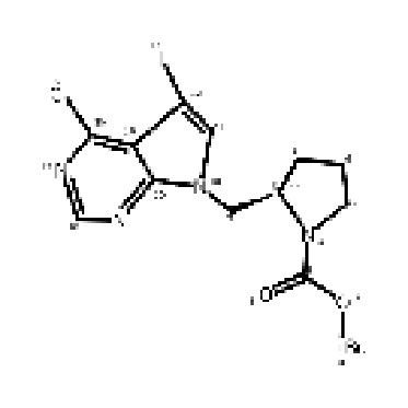 CC(C)(C)OC(=O)N1CCC[C@@H]1Cn1cc(I)c2c(Cl)ncnc21